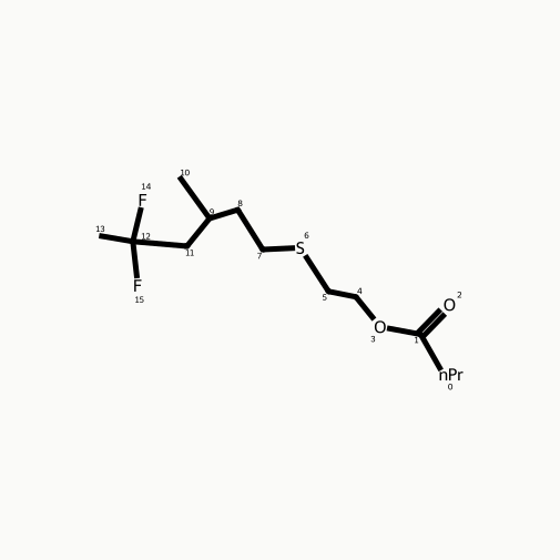 CCCC(=O)OCCSCCC(C)CC(C)(F)F